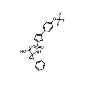 O=C(O)[C@@]1(NS(=O)(=O)c2ccc(-c3ccc(OC(F)(F)F)cc3)s2)C[C@H]1c1ccccc1